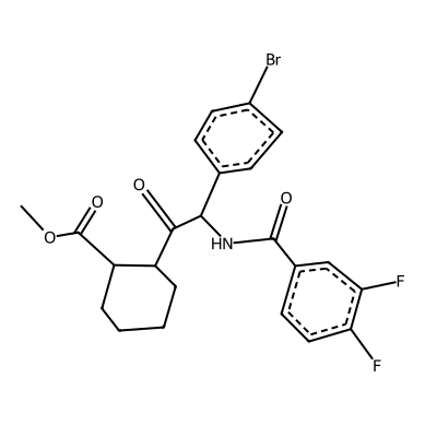 COC(=O)C1CCCCC1C(=O)C(NC(=O)c1ccc(F)c(F)c1)c1ccc(Br)cc1